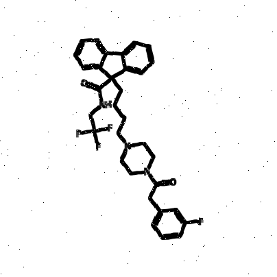 O=C(Cc1cccc(F)c1)N1CCN(CCCCC2(C(=O)NCC(F)(F)F)c3ccccc3-c3ccccc32)CC1